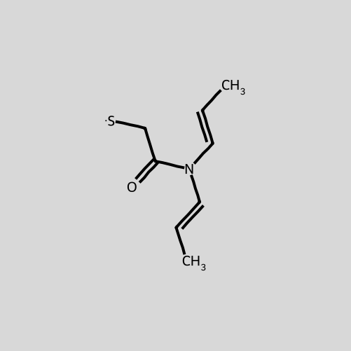 CC=CN(C=CC)C(=O)C[S]